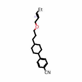 CC/C=C/COCCCC1CCC(c2ccc(C#N)cc2)CC1